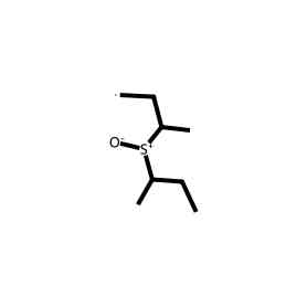 [CH2]CC(C)[S+]([O-])C(C)CC